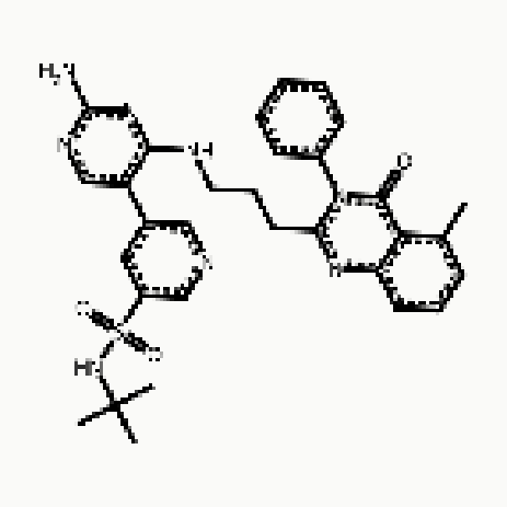 Cc1cccc2nc(CCCNc3nc(N)ncc3-c3cncc(S(=O)(=O)NC(C)(C)C)c3)n(-c3ccccc3)c(=O)c12